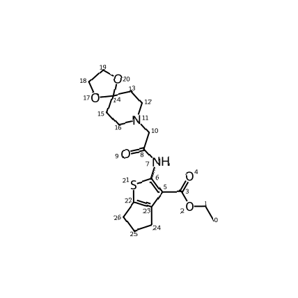 CCOC(=O)c1c(NC(=O)CN2CCC3(CC2)OCCO3)sc2c1CCC2